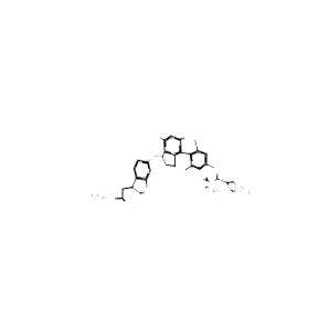 COC(=O)CC1COc2cc(O[C@@H]3CCc4c(-c5c(C)cc(OC(C6CNC6)S(C)(=O)=O)cc5C)c(F)cc(F)c43)ccc21